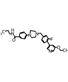 CCCNC(=O)c1ccc(N2CCN(Cc3ccc(-c4cncc(OCC)c4)c(F)c3)CC2)cc1